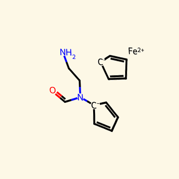 NCCN(C=O)[c-]1cccc1.[Fe+2].c1cc[cH-]c1